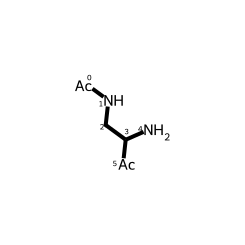 CC(=O)NCC(N)C(C)=O